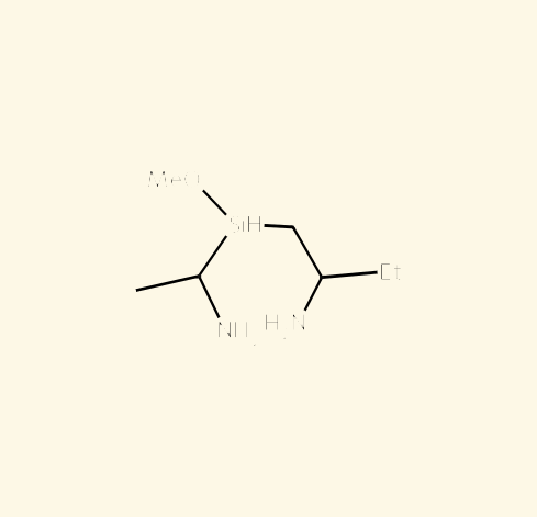 CCC(N)C[SiH](OC)C(C)N